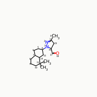 CC1=NN(C2CCC3CCCC(C)(C)C3C2)C(C=O)C1